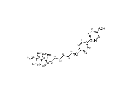 Oc1cnc(-c2ccc(OCCCCCCC(F)(F)C(F)(F)C(F)(F)C(F)(F)F)cc2)nc1